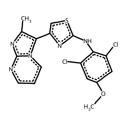 COc1cc(Cl)c(Nc2nc(-c3c(C)nc4ncccn34)cs2)c(Cl)c1